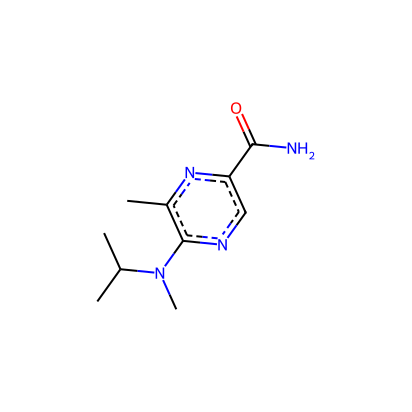 Cc1nc(C(N)=O)cnc1N(C)C(C)C